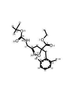 CCOC(=O)C1(Cc2c(F)cccc2F)CC(CNC(=O)OC(C)(C)C)=NO1